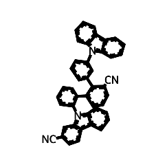 N#Cc1ccc2c3ccccc3n(-c3ccccc3-c3cccc(C#N)c3-c3cccc(-n4c5ccccc5c5ccccc54)c3)c2c1